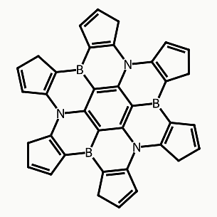 C1=CC2=C(C1)B1C3=C(CC=C3)N3C4=C(CC=C4)B4C5=C(CC=C5)N5C6=C(CC=C6)B6C7=C(CC=C7)N2c2c6c5c4c3c21